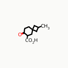 CC1CC2(CCC(=O)C(C(=O)O)C2)C1